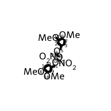 COc1ccc(COC(OC(OCc2ccc(OC)c(OC)c2)[N+](=O)[O-])[N+](=O)[O-])cc1OC